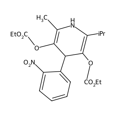 CCOC(=O)OC1=C(C)NC(C(C)C)=C(OC(=O)OCC)C1c1ccccc1[N+](=O)[O-]